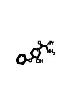 CC(C)[C@H](N)C(=O)N1CCC(Oc2ccccc2)CC1.Cl